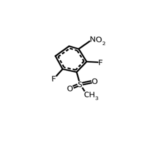 CS(=O)(=O)c1c(F)ccc([N+](=O)[O-])c1F